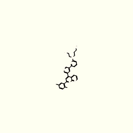 O=NCCCN(CCO)c1cccc(-c2cncc(-c3cc(-c4cc(Cl)ccc4F)nc4ncccc34)c2)n1